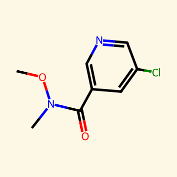 CON(C)C(=O)c1cncc(Cl)c1